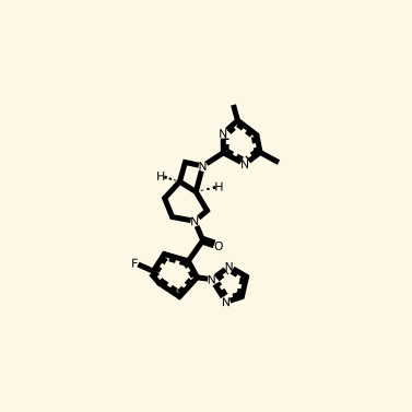 Cc1cc(C)nc(N2C[C@@H]3CCN(C(=O)c4cc(F)ccc4-n4nccn4)C[C@@H]32)n1